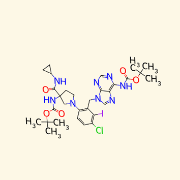 CC(C)(C)OC(=O)Nc1ncnc2c1ncn2Cc1c(N2CCC(NC(=O)OC(C)(C)C)(C(=O)NC3CC3)C2)ccc(Cl)c1I